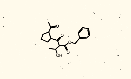 CC(=O)C1CCCC1C(=O)C(C(=O)OCc1ccccc1)C(C)O